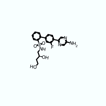 Nc1cnc(-c2ccc(-c3ccccc3S(=O)(=O)NC[C@@H](O)CCO)cc2F)cn1